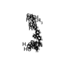 COC(=O)N[C@H](C(=O)N1CCCC1c1ncc(-c2ccc3c(c2)C2(CCC2)c2cc(-c4cnc([C@@H]5CCCN5C(=O)[C@@H](NC(=O)O)C(C)C)[nH]4)ccc2-3)[nH]1)C(C)C